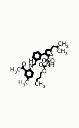 CCCCOC(=O)NS(=O)(=O)c1sc(CC(C)C)cc1-c1cccc(CNc2ccc(C)cc2C(C)=O)c1